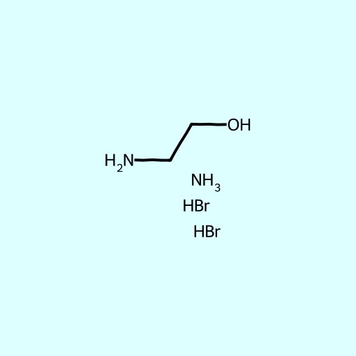 Br.Br.N.NCCO